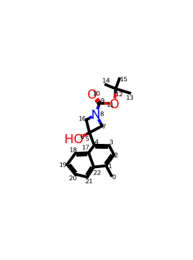 Cc1ccc(C2(O)CN(C(=O)OC(C)(C)C)C2)c2ccccc12